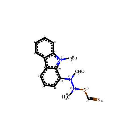 CCCCn1c2ccccc2c2cccc(N(C=O)N(C)SC=S)c21